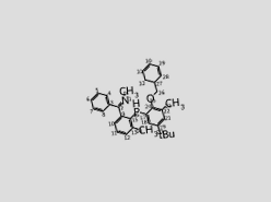 C/N=C(\c1ccccc1)c1cccc(C)c1Pc1cc(C(C)(C)C)cc(C)c1OCC1C=CC=CC1